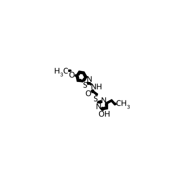 CCCc1cc(O)nc(SCC(=O)Nc2nc3ccc(OCC)cc3s2)n1